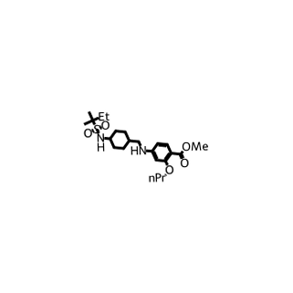 CCCOc1cc(NCC2CCC(NS(=O)(=O)C(C)(C)CC)CC2)ccc1C(=O)OC